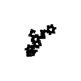 CCCSc1nc(N[C@@H]2C[C@H]2c2ccccc2)c2nnn([C@H]3C=C[C@@H](O)C34CC4)c2n1